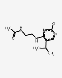 CC(=O)NCCNc1nc(Cl)ncc1C(C)C